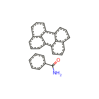 NC(=O)c1ccccc1.c1cc2cccc3c4cccc5cccc(c(c1)c23)c54